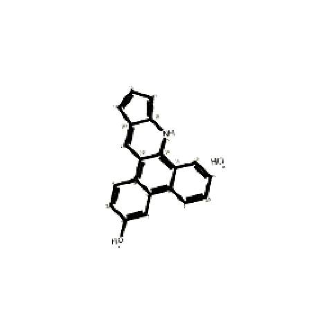 Cl.Oc1ccc2c(c1)c1ccccc1c1[nH]c3cccc-3cc21